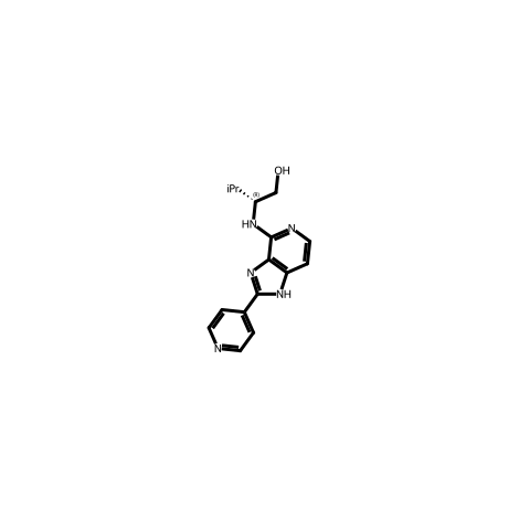 CC(C)[C@H](CO)Nc1nccc2[nH]c(-c3ccncc3)nc12